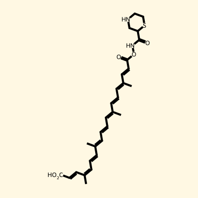 CC(=C/C=C/C(C)=C/C=C/C=C(C)/C=C/C=C(C)/C=C/C(=O)ONC(=O)C1CNCCS1)/C=C/C(=O)O